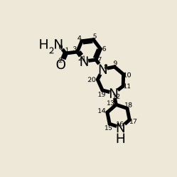 NC(=O)c1cccc(N2CCCN(C3CCNCC3)CC2)n1